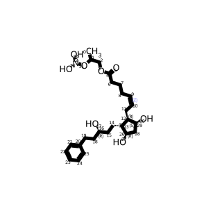 CC(COC(=O)CCC/C=C\C[C@@H]1[C@@H](CC[C@@H](O)CCc2ccccc2)[C@H](O)C[C@@H]1O)ON(O)O